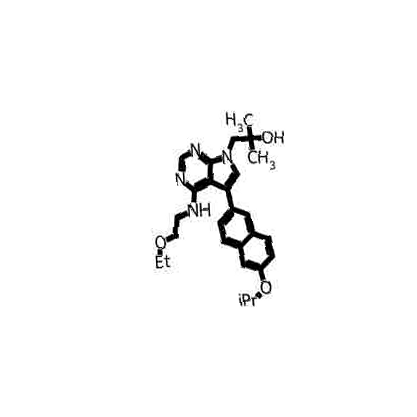 CCOCCNc1ncnc2c1c(-c1ccc3cc(OC(C)C)ccc3c1)cn2CC(C)(C)O